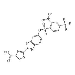 O=C(O)[C@H]1CSC(c2nc3ccc(OS(=O)(=O)c4ccc(C(F)(F)F)cc4[N+](=O)[O-])cc3s2)=N1